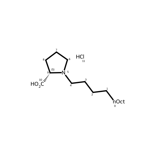 CCCCCCCCCCCCN1CCC[C@H]1C(=O)O.Cl